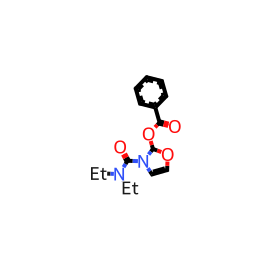 CCN(CC)C(=O)N1C=COC1OC(=O)c1ccccc1